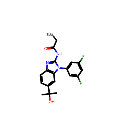 CC(C)(C)CC(=O)Nc1nc2ccc(C(C)(C)O)cc2n1-c1cc(F)cc(F)c1